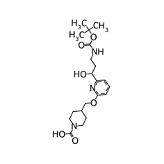 CC(C)(C)OC(=O)NCCC(O)c1cccc(OCC2CCN(C(=O)O)CC2)n1